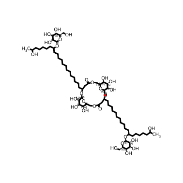 CC(O)CCCCCC(CCCCCCCCCCCCCC1CC(=O)OC[C@H]2O[C@@H](OC(CCCCCCCCCCCC(CCCCCC(C)O)O[C@@H]3O[C@H](CO)[C@@H](O)[C@H](O)[C@H]3O)CC(=O)OC[C@@H]3O[C@H](O1)[C@@H](O)[C@H](O)[C@H]3O)[C@H](O)[C@@H](O)[C@@H]2O)O[C@@H]1O[C@H](CO)[C@@H](O)[C@H](O)[C@H]1O